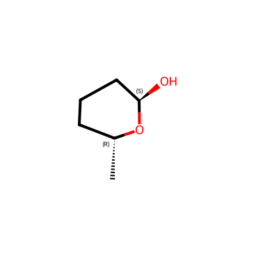 C[C@@H]1CCC[C@@H](O)O1